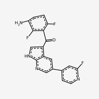 Nc1ccc(F)c(C(=O)c2c[nH]c3ncc(-c4ccnc(F)c4)cc23)c1F